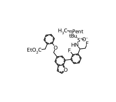 CCCCCC.CCOC(=O)Cc1ccccc1OCc1cc(-c2cccc(C(CF)N[S@@+]([O-])C(C)(C)C)c2F)c2occc2c1